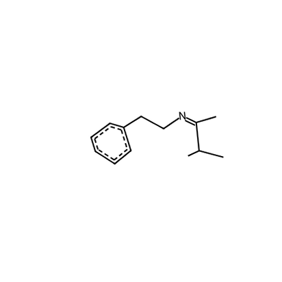 CC(=NCCc1ccccc1)C(C)C